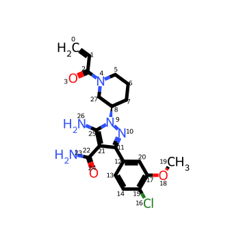 C=CC(=O)N1CCC[C@@H](n2nc(-c3ccc(Cl)c(OC)c3)c(C(N)=O)c2N)C1